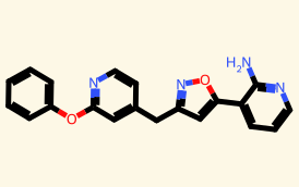 Nc1ncccc1-c1cc(Cc2ccnc(Oc3ccccc3)c2)no1